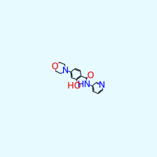 O=C(Nc1cccnc1)c1ccc(N2CCOCC2)cc1O